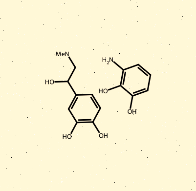 CNCC(O)c1ccc(O)c(O)c1.Nc1cccc(O)c1O